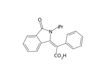 CC(C)N1C(=O)c2ccccc2/C1=C(\C(=O)O)c1ccccc1